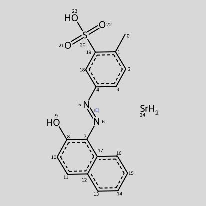 Cc1ccc(/N=N/c2c(O)ccc3ccccc23)cc1S(=O)(=O)O.[SrH2]